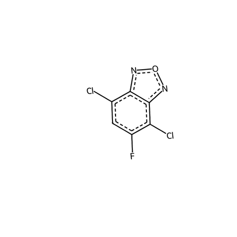 Fc1cc(Cl)c2nonc2c1Cl